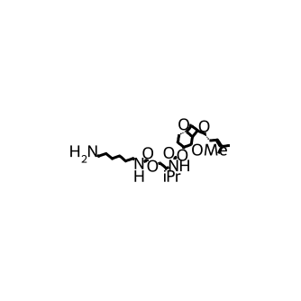 COC1C(OC(=O)N[C@@H](COC(=O)NCCCCCCN)C(C)C)CC[C@]23OC2C2(O[C@@H]2CC=C(C)C)C13